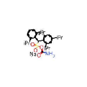 CC(C)c1cc(C(C)C)c(C(c2c(C(C)C)cccc2C(C)C)S(=O)(=O)OC(N)=O)c(C(C)C)c1.[Na]